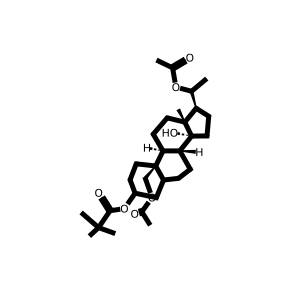 CC(=O)OC[C@]12CCC(OC(=O)C(C)(C)C)CC1CC[C@@H]1[C@@H]2CC[C@]2(C)[C@@H](C(C)OC(C)=O)CC[C@@]12O